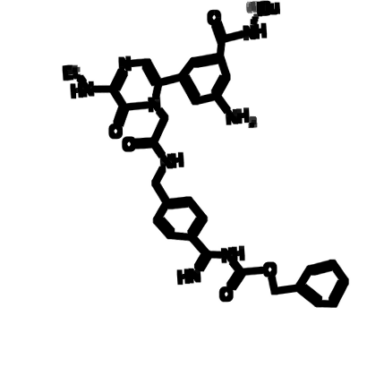 CCNc1ncc(-c2cc(N)cc(C(=O)N[C@@H](C)CC)c2)n(CC(=O)NCc2ccc(C(=N)NC(=O)OCc3ccccc3)cc2)c1=O